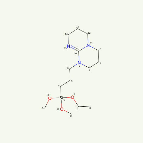 CCO[Si](CCCN1CCCN2CCCN=C21)(OC)OC